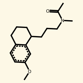 COc1ccc2c(c1)C(CCCN(C)C(C)=O)CCC2